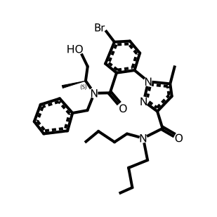 CCCCN(CCCC)C(=O)c1cc(C)n(-c2ccc(Br)cc2C(=O)N(Cc2ccccc2)[C@@H](C)CO)n1